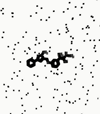 Cn1nc(-c2ccccc2)cc1COc1cccc(/C(N)=C(\C#N)NN)c1